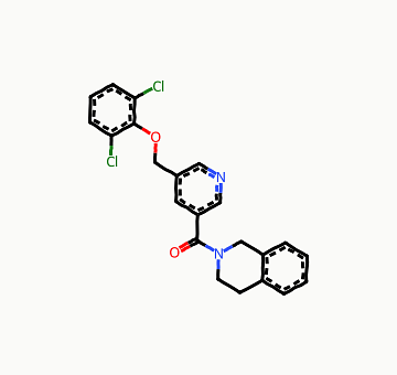 O=C(c1cncc(COc2c(Cl)cccc2Cl)c1)N1CCc2ccccc2C1